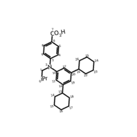 CC(C)CN(c1ccc(C(=O)O)cc1)c1cc(C2CCCCC2)cc(C2CCCCC2)c1